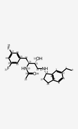 CCc1ccc2c(c1)[C@@H](NC[C@@H](O)[C@H](Cc1cc(F)cc(F)c1)NC(C)=O)CC2